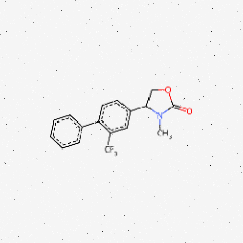 CN1C(=O)OCC1c1ccc(-c2ccccc2)c(C(F)(F)F)c1